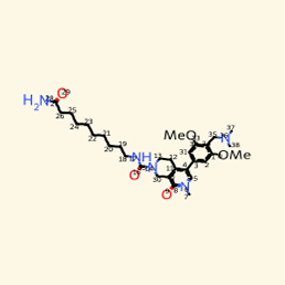 COc1cc(-c2cn(C)c(=O)c3c2CCN(C(=O)NCCCCCCCCCC(N)=O)C3)cc(OC)c1CN(C)C